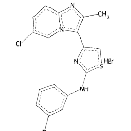 Br.Cc1nc2ccc(Cl)cn2c1-c1csc(Nc2cccc(Br)c2)n1